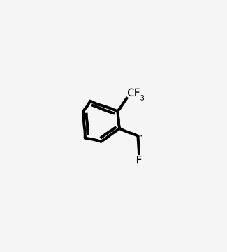 F[CH]c1ccccc1C(F)(F)F